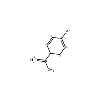 C=C(C)C1C=CC(C(C)=O)=CC1